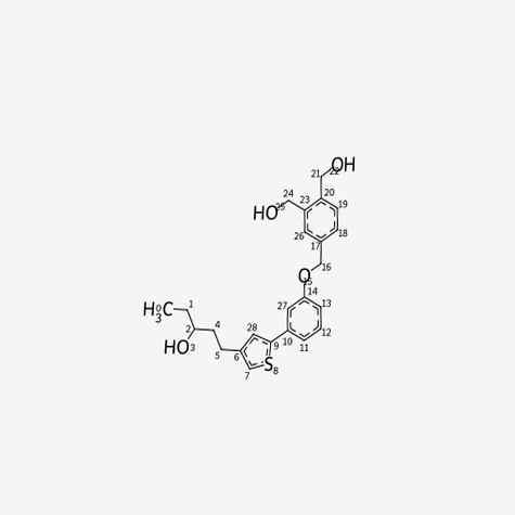 CCC(O)CCc1csc(-c2cccc(OCc3ccc(CO)c(CO)c3)c2)c1